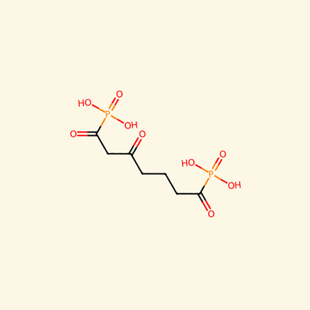 O=C(CCCC(=O)P(=O)(O)O)CC(=O)P(=O)(O)O